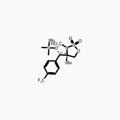 CC(C)(C)[C@]1([C@@H](O[Si](C)(C)C(C)(C)C)c2ccc(C(F)(F)F)cc2)COS(=O)(=O)N1C(=O)O